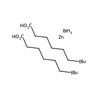 CC(C)(C)CCCCCC(=O)O.CC(C)(C)CCCCCC(=O)O.[BiH3].[Zn]